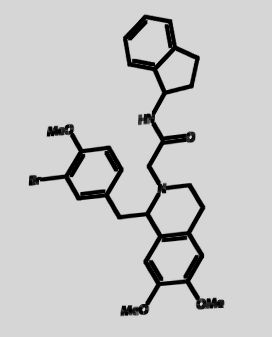 COc1ccc(CC2c3cc(OC)c(OC)cc3CCN2CC(=O)NC2CCc3ccccc32)cc1Br